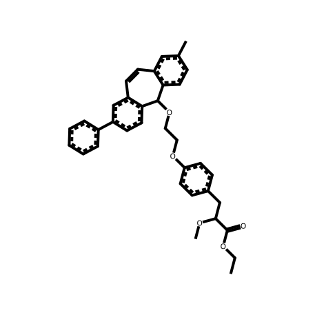 CCOC(=O)C(Cc1ccc(OCCOC2c3ccc(C)cc3C=Cc3cc(-c4ccccc4)ccc32)cc1)OC